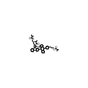 C=C(C)C(=O)OCCCCCC1(C(CCCC)OC(=O)C(=C)C)c2ccccc2-c2ccc(-c3c4ccccc4c(-c4ccc(CCCOC(=O)C(=C)C)cc4)c4ccccc34)cc21